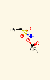 CC(C)CS(=O)(=O)NOC(=O)C(F)(F)F